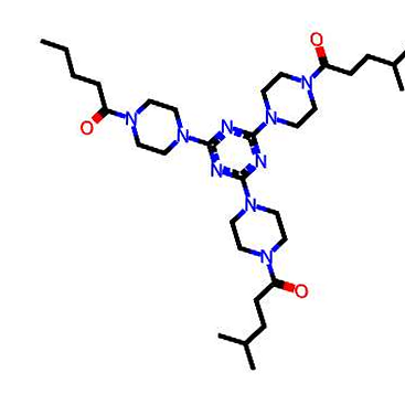 CCCCC(=O)N1CCN(c2nc(N3CCN(C(=O)CCC(C)C)CC3)nc(N3CCN(C(=O)CCC(C)C)CC3)n2)CC1